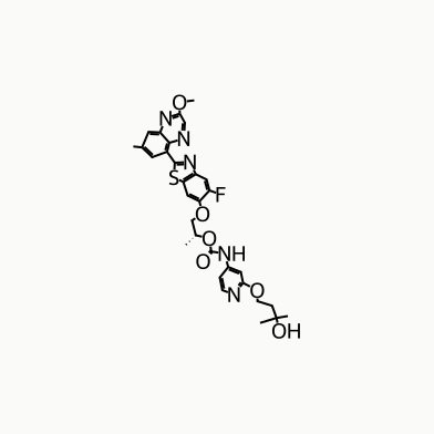 COc1cnc2c(-c3nc4cc(F)c(OC[C@@H](C)OC(=O)Nc5ccnc(OCCC(C)(C)O)c5)cc4s3)cc(C)cc2n1